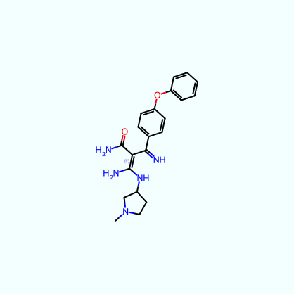 CN1CCC(N/C(N)=C(\C(=N)c2ccc(Oc3ccccc3)cc2)C(N)=O)C1